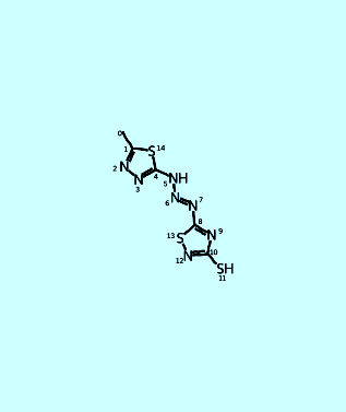 Cc1nnc(NN=Nc2nc(S)ns2)s1